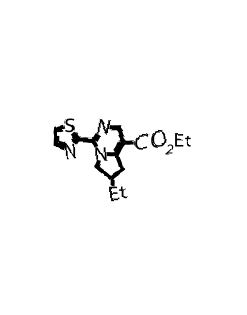 CCOC(=O)C1=C2CC(CC)CN2C(c2nccs2)=NC1